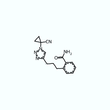 N#CC1(n2cc([CH]CCc3ccccc3C(N)=O)nn2)CC1